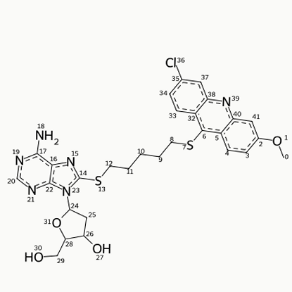 COc1ccc2c(SCCCCCSc3nc4c(N)ncnc4n3C3CC(O)C(CO)O3)c3ccc(Cl)cc3nc2c1